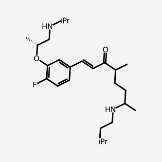 CC(C)CCNC(C)CCC(C)C(=O)/C=C/c1ccc(F)c(O[C@H](C)CNC(C)C)c1